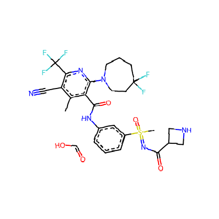 Cc1c(C#N)c(C(F)(F)F)nc(N2CCCC(F)(F)CC2)c1C(=O)Nc1cccc(S(C)(=O)=NC(=O)C2CNC2)c1.O=CO